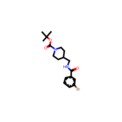 CC(C)(C)OC(=O)N1CCC(CNC(=O)c2cccc(Br)c2)CC1